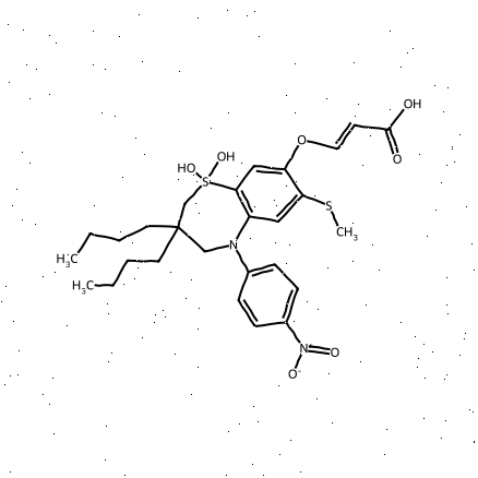 CCCCC1(CCCC)CN(c2ccc([N+](=O)[O-])cc2)c2cc(SC)c(O/C=C/C(=O)O)cc2S(O)(O)C1